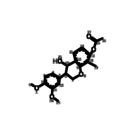 COc1ccc(C2COc3c(ccc(OC(C)=O)c3C)C2O)cc1OC